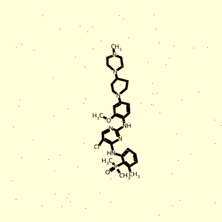 COc1cc(N2CCC(N3CCN(C)CC3)CC2)ccc1Nc1ncc(Cl)c(Nc2cccc(C)c2P(C)(C)=O)n1